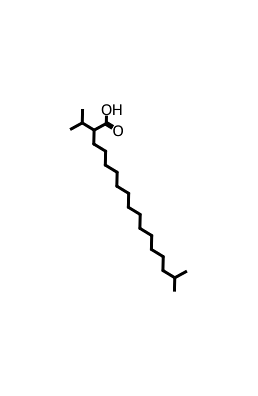 CC(C)CCCCCCCCCCCCCC(C(=O)O)C(C)C